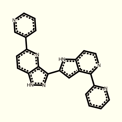 c1ccc(-c2nccc3[nH]c(-c4n[nH]c5ccc(-c6cccnc6)nc45)cc23)nc1